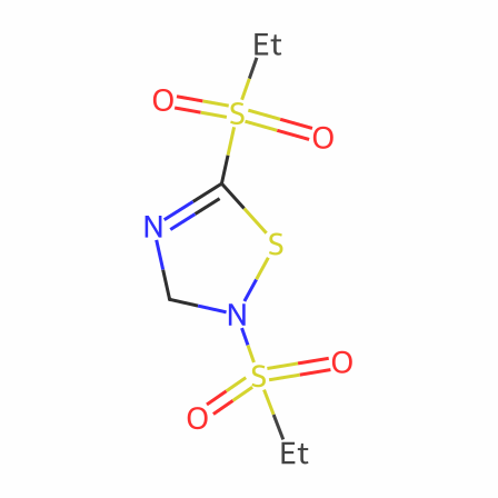 CCS(=O)(=O)C1=NCN(S(=O)(=O)CC)S1